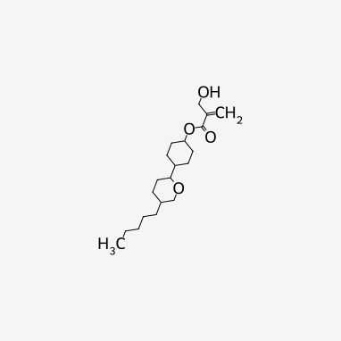 C=C(CO)C(=O)OC1CCC(C2CCC(CCCCC)CO2)CC1